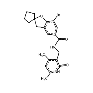 Cc1cc(C)c(CNC(=O)c2cc(Br)c3c(c2)CC2(CCCC2)O3)c(=O)[nH]1